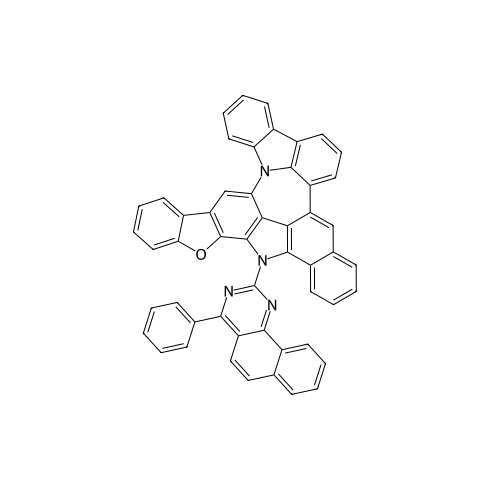 c1ccc(-c2nc(-n3c4c5ccccc5cc5c6cccc7c8ccccc8n(c8cc9c%10ccccc%10oc9c3c8c54)c67)nc3c2ccc2ccccc23)cc1